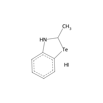 CC1Nc2ccccc2[Te]1.I